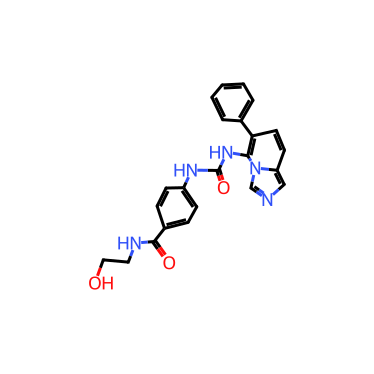 O=C(Nc1ccc(C(=O)NCCO)cc1)Nc1c(-c2ccccc2)ccc2cncn12